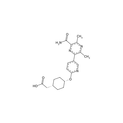 Cc1nc(C)c(-c2ccc(O[C@H]3CC[C@@H](CC(=O)O)CC3)nc2)nc1C(N)=O